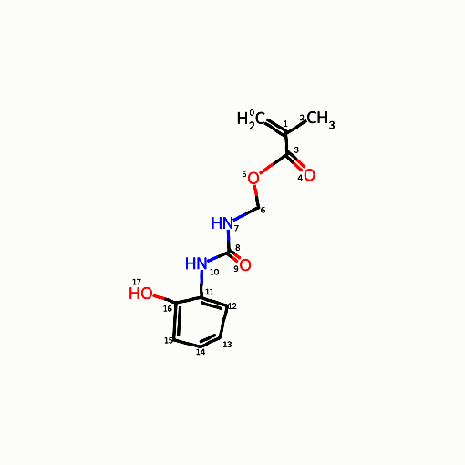 C=C(C)C(=O)OCNC(=O)Nc1ccccc1O